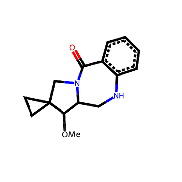 COC1C2CNc3ccccc3C(=O)N2CC12CC2